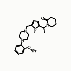 CC(C)Oc1ccccc1N1CCN(Cc2ccc(C(C)N3CCCCC3=O)n2C)CC1